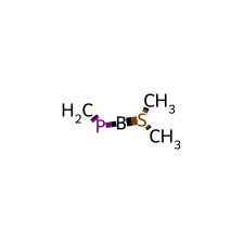 C=PB=S(C)C